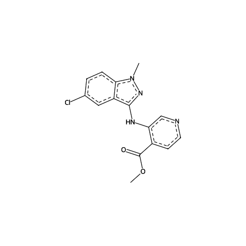 COC(=O)c1ccncc1Nc1nn(C)c2ccc(Cl)cc12